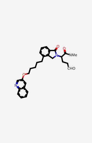 CNC(=O)C(CCC=O)N1Cc2c(CCCCCOc3cnc4ccccc4c3)cccc2C1=O